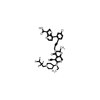 CCN(c1ncc2nc(C)n(CC#Cc3ccc(Cl)cc3-c3ccnc4c(C(=O)O)csc34)c(=O)c2c1C#N)C1CCN(CC(F)(F)C(F)F)CC1